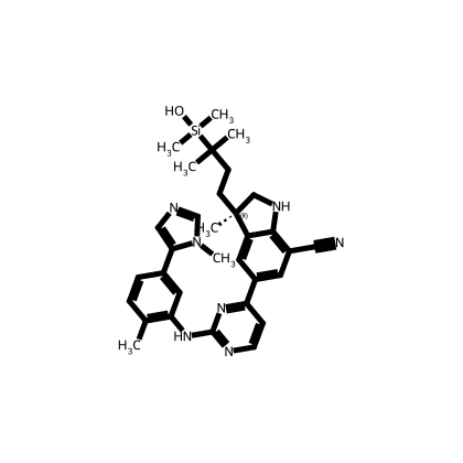 Cc1ccc(-c2cncn2C)cc1Nc1nccc(-c2cc(C#N)c3c(c2)[C@@](C)(CCC(C)(C)[Si](C)(C)O)CN3)n1